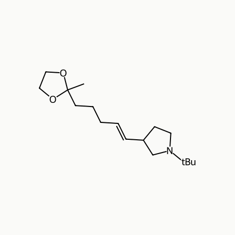 CC1(CCCC=CC2CCN(C(C)(C)C)C2)OCCO1